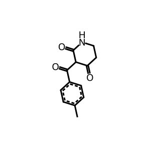 Cc1ccc(C(=O)C2C(=O)CCNC2=O)cc1